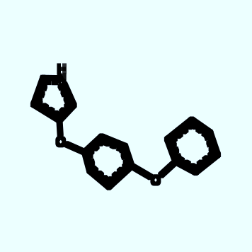 c1ccc(Oc2ccc(Oc3cc[nH]c3)cc2)cc1